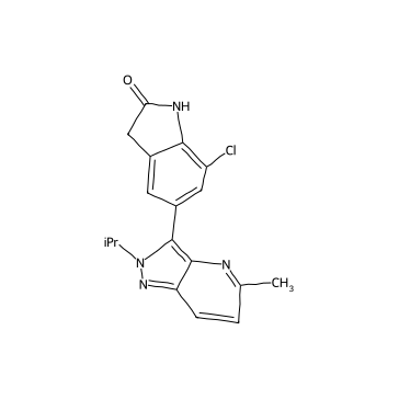 Cc1ccc2nn(C(C)C)c(-c3cc(Cl)c4c(c3)CC(=O)N4)c2n1